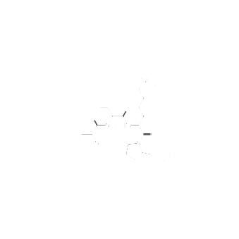 NCCCCC(NC(=O)C(CC(=O)O)NC(=O)C(N)CO)C(=O)N1CCCC1C(=O)O